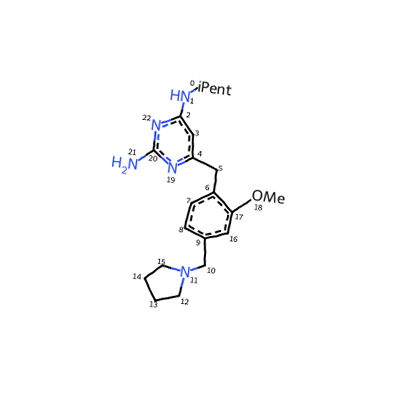 CCCC(C)Nc1cc(Cc2ccc(CN3CCCC3)cc2OC)nc(N)n1